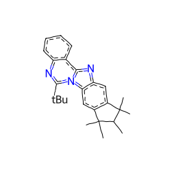 CC1C(C)(C)c2cc3nc4c5ccccc5nc(C(C)(C)C)n4c3cc2C1(C)C